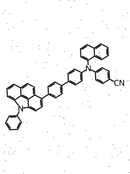 N#Cc1ccc(N(c2ccc(-c3ccc(-c4ccc5c6c4ccc4cccc(c46)n5-c4ccccc4)cc3)cc2)c2cccc3ccccc23)cc1